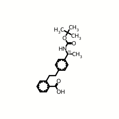 C[C@H](NC(=O)OC(C)(C)C)c1ccc(CCc2ccccc2C(=O)O)cc1